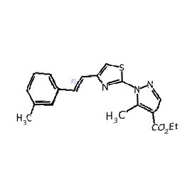 CCOC(=O)c1cnn(-c2nc(/C=C/c3cccc(C)c3)cs2)c1C